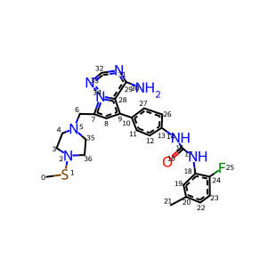 CSN1CCN(Cc2cc(-c3ccc(NC(=O)Nc4cc(C)ccc4F)cc3)c3c(N)ncnn23)CC1